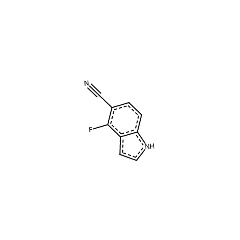 N#Cc1ccc2[nH]ccc2c1F